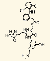 NCCCCC(CC(=O)O)NC(=O)C(CSC(=O)Cc1ccccc1Nc1c(Cl)cccc1Cl)NC(=O)CCC(N)C(=O)O